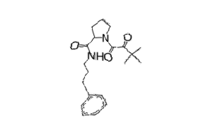 CC(C)(C)C(=O)C(=O)N1CCCC1C(=O)NCCCc1ccccc1